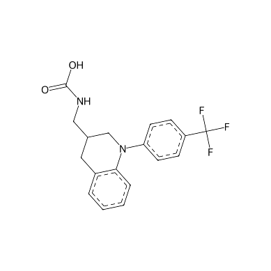 O=C(O)NCC1Cc2ccccc2N(c2ccc(C(F)(F)F)cc2)C1